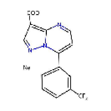 O=C([O-])c1cnn2c(-c3cccc(C(F)(F)F)c3)ccnc12.[Na+]